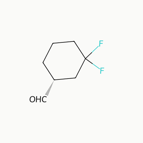 O=C[C@@H]1CCCC(F)(F)C1